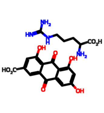 N=C(N)NCCCC(N)C(=O)O.O=C(O)c1cc(O)c2c(c1)C(=O)c1cc(O)cc(O)c1C2=O